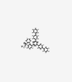 CP(=O)(c1ccccc1)c1cccc(-c2nc(-c3ccc(-c4ccccc4)cc3)nc(-c3ccc(-c4ccccc4)cc3)n2)c1